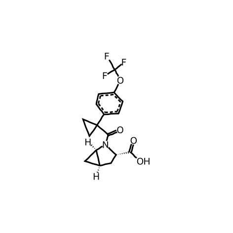 O=C(O)[C@@H]1C[C@H]2C[C@H]2N1C(=O)C1(c2ccc(OC(F)(F)F)cc2)CC1